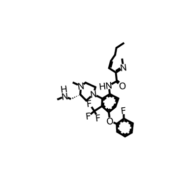 CCC/C=C\C(=N/C)C(=O)Nc1ccc(Oc2ccccc2F)c(C(F)(F)F)c1N1CCN(C)[C@@H](CNC)C1